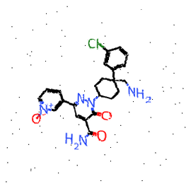 NC[C@]1(c2cccc(Cl)c2)CC[C@H](n2nc(-c3ccc[n+]([O-])c3)cc(C(N)=O)c2=O)CC1